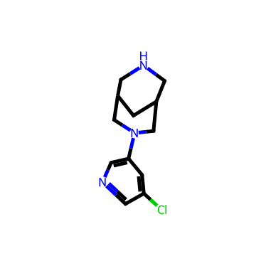 Clc1cncc(N2CC3CNCC(C3)C2)c1